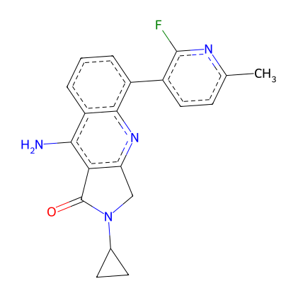 Cc1ccc(-c2cccc3c(N)c4c(nc23)CN(C2CC2)C4=O)c(F)n1